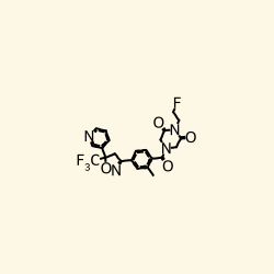 Cc1cc(C2=NOC(c3cccnc3)(C(F)(F)F)C2)ccc1C(=O)N1CC(=O)N(CCF)C(=O)C1